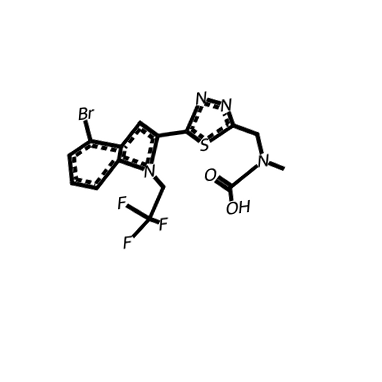 CN(Cc1nnc(-c2cc3c(Br)cccc3n2CC(F)(F)F)s1)C(=O)O